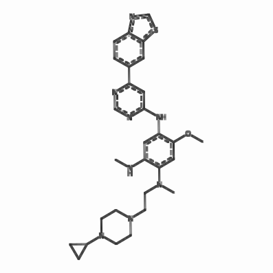 CNc1cc(Nc2cc(-c3ccc4ncsc4c3)ncn2)c(OC)cc1N(C)CCN1CCN(C2CC2)CC1